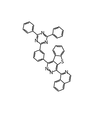 c1ccc(-c2nc(-c3ccccc3)nc(-c3cccc(-c4nnc(-c5nccc6ccccc56)c5sc6ccccc6c45)c3)n2)cc1